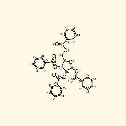 O=C(OC[C@H]1O[C@@H](OC(=O)c2ccccc2)[C@H](OC(=O)c2ccccc2)[C@H]1OC(=O)c1ccccc1)c1ccccc1